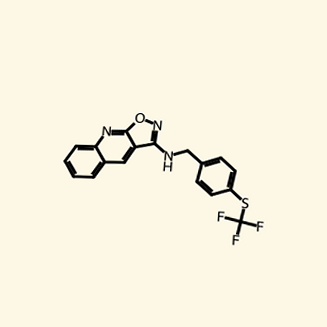 FC(F)(F)Sc1ccc(CNc2noc3nc4ccccc4cc23)cc1